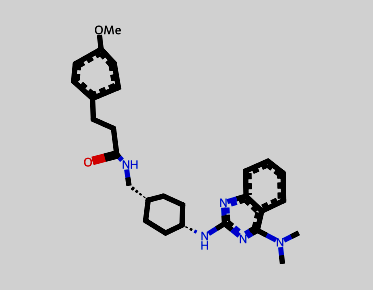 COc1ccc(CCC(=O)NC[C@H]2CC[C@@H](Nc3nc(N(C)C)c4ccccc4n3)CC2)cc1